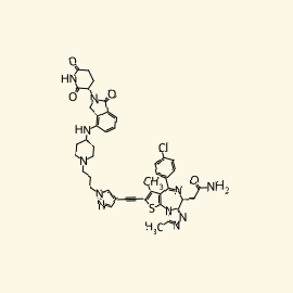 Cc1c(C#Cc2cnn(CCCN3CCC(Nc4cccc5c4CN(C4CCC(=O)NC4=O)C5=O)CC3)c2)sc2c1C(c1ccc(Cl)cc1)=N[C@@H](CC(N)=O)c1nnc(C)n1-2